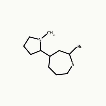 CCC(C)C1CC(C2CCCN2C)CCCS1